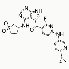 O=C(c1ccc(Nc2ccc(C3CC3)nc2)nc1F)c1c[nH]c2ncnc(NC3CCS(=O)(=O)C3)c12